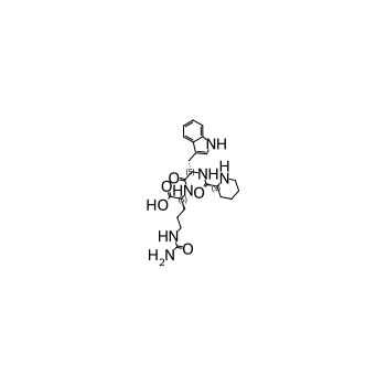 NC(=O)NCCC[C@H](NC(=O)[C@H](Cc1c[nH]c2ccccc12)NC(=O)[C@@H]1CCCCN1)C(=O)O